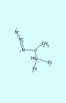 CC[SiH](CC)C(C)N=[N+]=[N-]